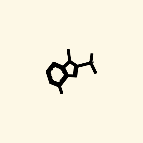 Cc1cccc2c1C=[C]([Zr]([CH3])[CH3])C2C